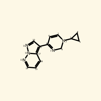 C1=CN(C2CC2)CN=C1c1cnn2ncccc12